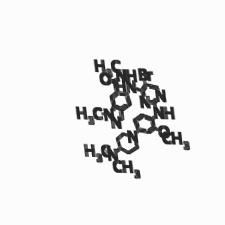 CNC(=O)c1cc2c(cnn2C)cc1Nc1nc(Nc2ccc(N3CCC(N(C)C)CC3)cc2OC)ncc1Br